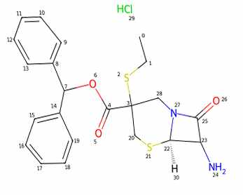 CCSC1(C(=O)OC(c2ccccc2)c2ccccc2)CS[C@@H]2C(N)C(=O)N2C1.Cl